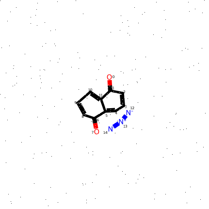 O=C1C=CC=C2C(=O)C=CC=C12.[N-]=[N+]=[N-]